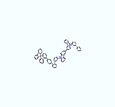 c1ccc(-c2cccc(-n3c4ccccc4c4cc(-c5ccc6c(c5)c5ccccc5n6-c5cccc(-c6ccccc6-c6ccc(-c7cccc(C8(c9ccccc9)c9ccccc9-c9ccccc98)c7)cc6)c5)ccc43)c2)cc1